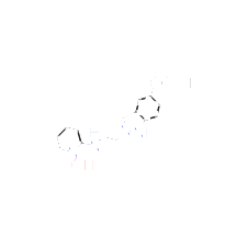 O=C(O)c1ccc2c(c1)CN(CCNC1=CC=CCN1O)N2